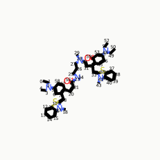 CCN(CC)c1cc(/C=C2\Sc3ccccc3N2C)c2ccc(N(C)CCCN(C)c3cc(/C=C4\Sc5ccccc5N4C)c4ccc(N(CC)CC)cc4[o+]3)[o+]c2c1